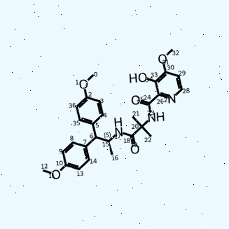 COc1ccc(C(c2ccc(OC)cc2)[C@H](C)NC(=O)C(C)(C)NC(=O)c2nccc(OC)c2O)cc1